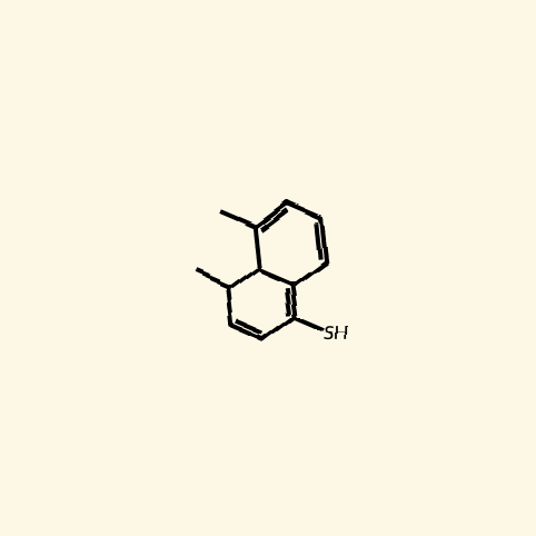 CC1=CC=CC2=C(S)C=CC(C)C12